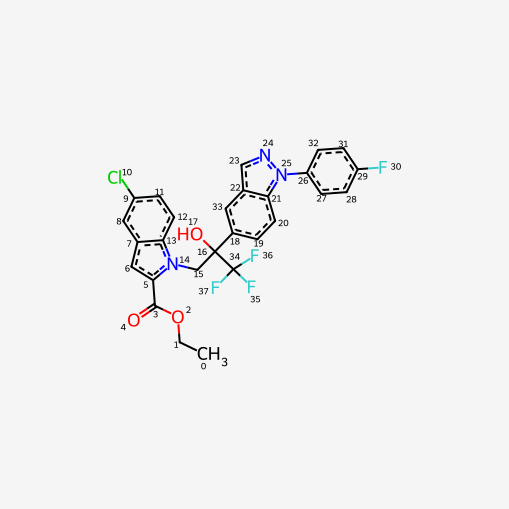 CCOC(=O)c1cc2cc(Cl)ccc2n1CC(O)(c1ccc2c(cnn2-c2ccc(F)cc2)c1)C(F)(F)F